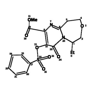 CCC1COCCc2nc(C(=O)OC)c(OS(=O)(=O)c3ccccc3)c(=O)n21